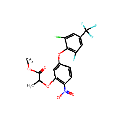 COC(=O)C(C)Oc1cc(Oc2c(F)cc(C(F)(F)F)cc2Cl)ccc1[N+](=O)[O-]